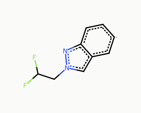 FC(F)Cn1cc2c[c]ccc2n1